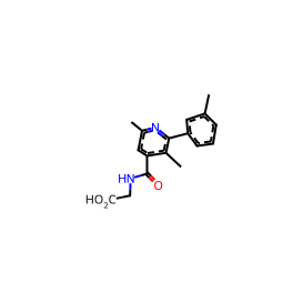 Cc1cccc(-c2nc(C)cc(C(=O)NCC(=O)O)c2C)c1